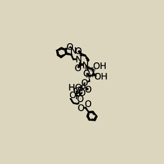 O=C(OC1CCOP(=O)(OP(=O)(O)OC[C@H]2O[C@@H](n3ccc(=O)n(Cc4noc5ccccc45)c3=O)[C@@H](O)[C@H]2O)O1)c1ccccc1